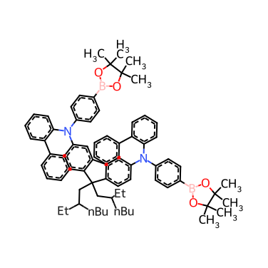 CCCCC(CC)CC1(CC(CC)CCCC)c2ccc(N(c3ccc(B4OC(C)(C)C(C)(C)O4)cc3)c3ccccc3-c3ccccc3)cc2-c2cc(N(c3ccc(B4OC(C)(C)C(C)(C)O4)cc3)c3ccccc3-c3ccccc3)ccc21